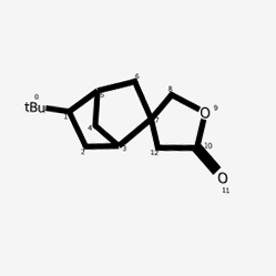 CC(C)(C)C1CC2CC1CC21COC(=O)C1